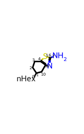 CCCCCCC1CCc2sc(N)nc2C1